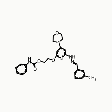 Cc1cccc(/C=N/Nc2cc(N3CCOCC3)cc(OCCOC(=O)Nc3ccccc3)n2)c1